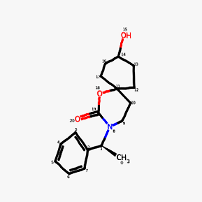 C[C@@H](c1ccccc1)N1CCC2(CCC(O)CC2)OC1=O